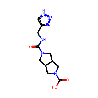 O=C(O)N1CC2CN(C(=O)NCc3c[nH]nn3)CC2C1